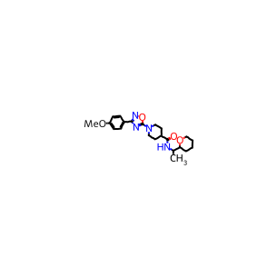 COc1ccc(-c2noc(N3CCC(C(=O)NC(C)C4CCCCO4)CC3)n2)cc1